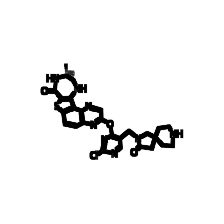 C[C@@H]1CNc2c(sc3ccc4nc(Oc5nc(Cl)ncc5CN5CC6(CCNCC6)CC5=O)cnc4c23)C(=O)N1